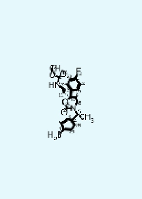 Bc1ccc([C@H](C)N2CC[C@](CCNC(=O)OC)(c3ccc(F)cc3)OC2=O)cc1